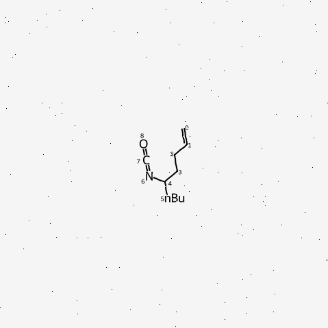 C=CCCC(CCCC)N=C=O